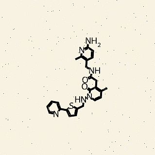 Cc1ccn(NCc2ccc(-c3ccccn3)s2)c(=O)c1CC(=O)NCc1ccc(N)nc1C